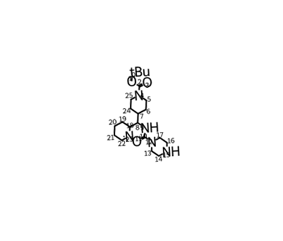 CC(C)(C)OC(=O)N1CCC(C(NC(=O)N2CCNCC2)C2CCCC[N]2)CC1